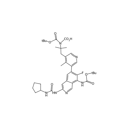 Cc1c(CC(C)(C)N(C(=O)O)C(=O)OC(C)(C)C)cncc1-c1cc2cc(NC(=O)NC3CCCC3)ncc2c(NC(=O)OC(C)(C)C)c1F